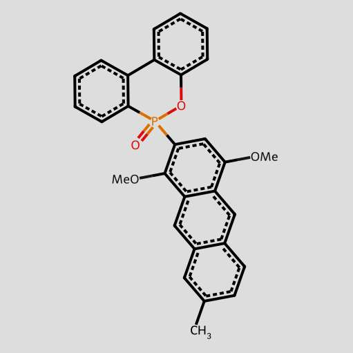 COc1cc(P2(=O)Oc3ccccc3-c3ccccc32)c(OC)c2cc3cc(C)ccc3cc12